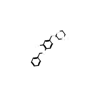 Brc1cc(C[C@@H]2CNCCO2)ccc1OCc1ccccc1